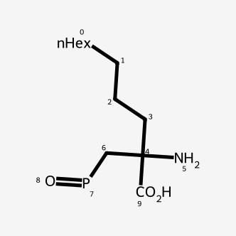 CCCCCCCCCC(N)(CP=O)C(=O)O